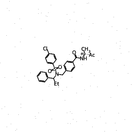 CCC(c1ccccc1)N(Cc1ccc(C(=O)N[C@H](C)C(C)=O)cc1)S(=O)(=O)c1ccc(Cl)cc1